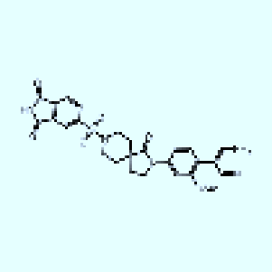 COc1cc(N2CCC3(CCN(S(=O)(=O)c4ccc5c(c4)C(=O)NC5=O)CC3)C2=O)ccc1/C(C=N)=C/N